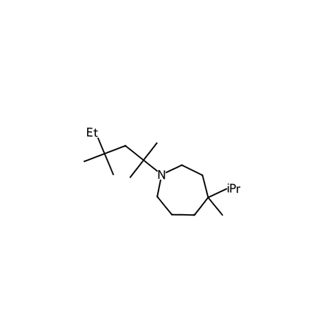 CCC(C)(C)CC(C)(C)N1CCCC(C)(C(C)C)CC1